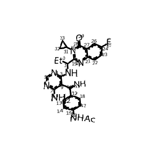 CCC(Nc1ncnc(N)c1C(=N)c1ccc(NC(C)=O)cc1)c1nc2ccc(F)cc2c(=O)n1C1CC1